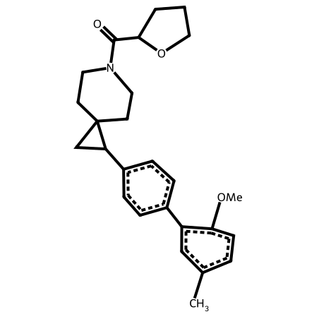 COc1ccc(C)cc1-c1ccc(C2CC23CCN(C(=O)C2CCCO2)CC3)cc1